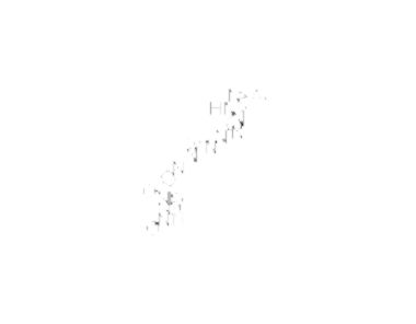 CC(=O)c1cnc(Nc2cc(N3CCN(CC(=O)N4CCN(c5ccc6c(c5)C(=O)N(C5CCC(=O)NC5=O)C6=O)CC4)CC3)nc(C)n2)s1